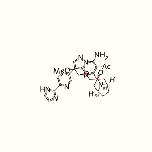 COCCOCC(=O)N1[C@@H]2CC[C@H]1CC(c1nc3c(-c4ccc(-c5ncc[nH]5)nc4)cnn3c(N)c1C(C)=O)C2